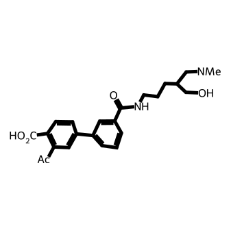 CNCC(CO)CCCNC(=O)c1cccc(-c2ccc(C(=O)O)c(C(C)=O)c2)c1